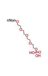 CCCCCCCCCOCCOCCOCCOCCOP(=O)(O)O